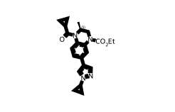 CCOC(=O)N1C[C@H](C)N(C(=O)C2CC2)c2ccc(-c3cnn(C4CC4)c3)cc21